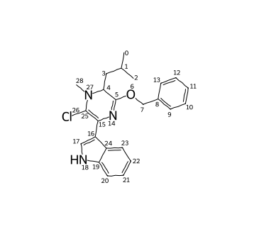 CC(C)CC1C(OCc2ccccc2)=NC(c2c[nH]c3ccccc23)=C(Cl)N1C